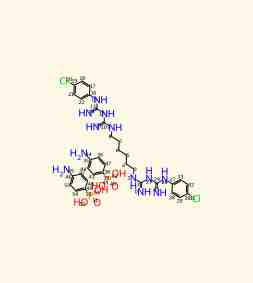 N=C(NCCCCCCNC(=N)NC(=N)Nc1ccc(Cl)cc1)NC(=N)Nc1ccc(Cl)cc1.Nc1ccc(P(=O)(O)O)cc1.Nc1ccc(P(=O)(O)O)cc1